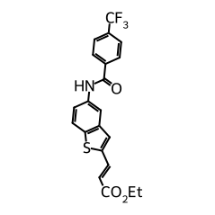 CCOC(=O)/C=C/c1cc2cc(NC(=O)c3ccc(C(F)(F)F)cc3)ccc2s1